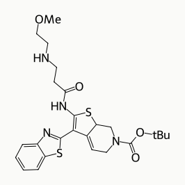 COCCNCCC(=O)NC1=C(c2nc3ccccc3s2)C2=CCN(C(=O)OC(C)(C)C)CC2S1